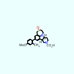 COc1ccc(-c2cc3c4c(c2)[C@@H]2CN(C(=O)O)CC[C@@H]2N4CC[S+]([O-])C3)c(C)c1